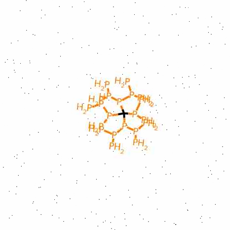 PPP(P)C(P(P)P)(P(P(P)P)P(P)P)P(P(P)P)P(P)P